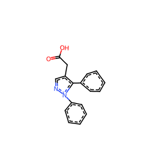 O=C(O)Cc1cnn(-c2ccccc2)c1-c1ccccc1